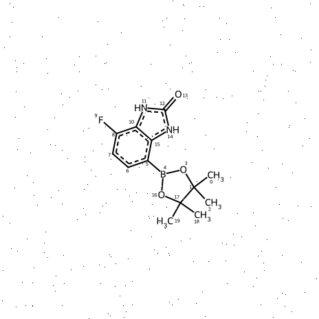 CC1(C)OB(c2ccc(F)c3[nH]c(=O)[nH]c23)OC1(C)C